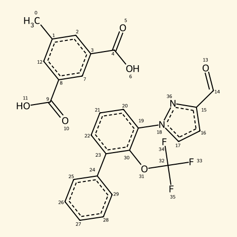 Cc1cc(C(=O)O)cc(C(=O)O)c1.O=Cc1ccn(-c2cccc(-c3ccccc3)c2OC(F)(F)F)n1